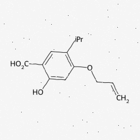 C=CCOc1cc(O)c(C(=O)O)cc1C(C)C